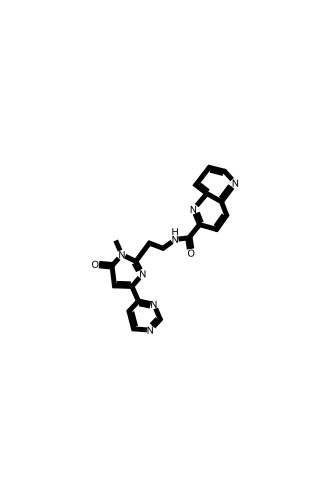 Cn1c(CCNC(=O)c2ccc3ncccc3n2)nc(-c2ccncn2)cc1=O